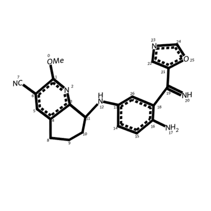 COc1nc2c(cc1C#N)CCCC2Nc1ccc(N)c(C(=N)c2cnco2)c1